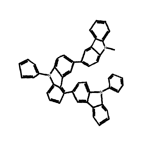 Cn1c2ccccc2c2cc(-c3ccc4c(c3)c3c(-c5ccc6c(c5)c5ccccc5n6-c5ccccc5)cccc3n4-c3ccccc3)ccc21